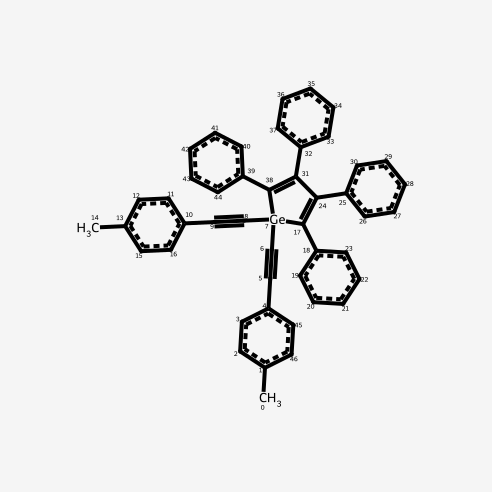 Cc1ccc(C#[C][Ge]2([C]#Cc3ccc(C)cc3)[C](c3ccccc3)=C(c3ccccc3)C(c3ccccc3)=[C]2c2ccccc2)cc1